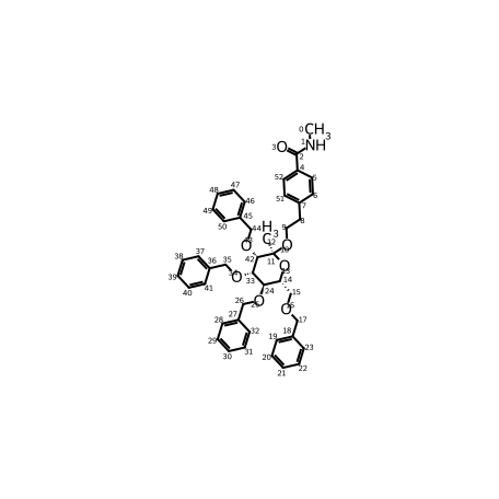 CNC(=O)c1ccc(CCO[C@@]2(C)O[C@H](COCc3ccccc3)[C@@H](OCc3ccccc3)[C@H](OCc3ccccc3)[C@@H]2OCc2ccccc2)cc1